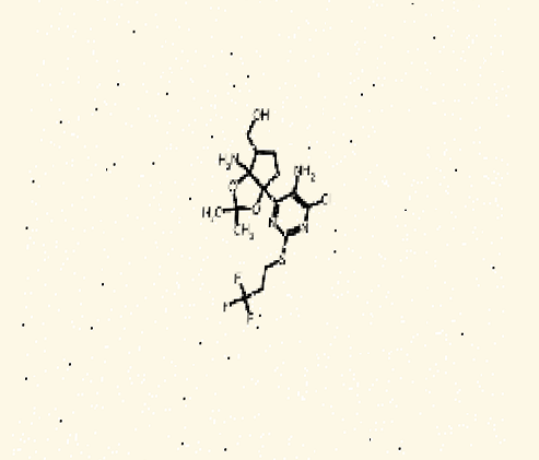 CC1(C)OC2(c3nc(SCCC(F)(F)F)nc(Cl)c3N)CCC(CO)C2(N)O1